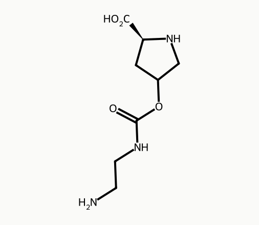 NCCNC(=O)OC1CN[C@H](C(=O)O)C1